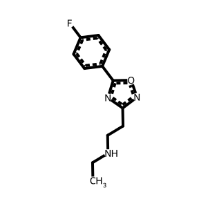 CCNCCc1noc(-c2ccc(F)cc2)n1